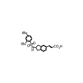 CC(C)(C)c1ccc(S(=O)(=O)NC2Cc3ccc(C=CC(=O)O)cc3C2)c(C(C)(C)C)c1